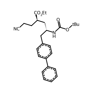 CCOC(=O)[C@H](CCC#N)C[C@@H](Cc1ccc(-c2ccccc2)cc1)NC(=O)OC(C)(C)C